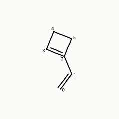 C=CC1=CCC1